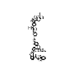 Cc1c(OCC[C@H]2CCCN(CC(=O)Nc3ccc4c(C5CCC(=O)NC5=O)nn(C)c4c3)C2)cccc1-c1ccc(N2CCc3cccc(C(=O)Nc4nc5ccccc5s4)c3C2)nc1C(=O)OC(C)(C)C